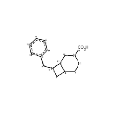 O=C(O)N1CCC2CN(Cc3ccccc3)C2C1